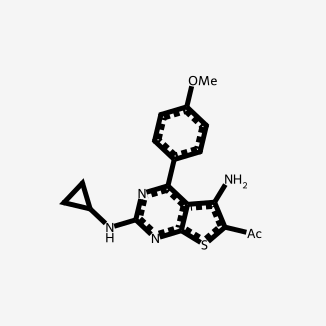 COc1ccc(-c2nc(NC3CC3)nc3sc(C(C)=O)c(N)c23)cc1